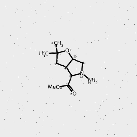 COC(=O)C1C2CC(C)(C)OC2CN1N